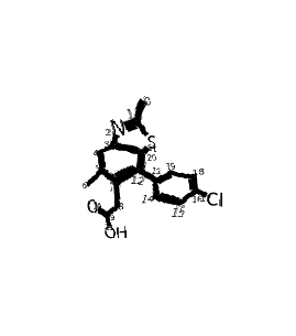 Cc1nc2cc(C)c(CC(=O)O)c(-c3ccc(Cl)cc3)c2s1